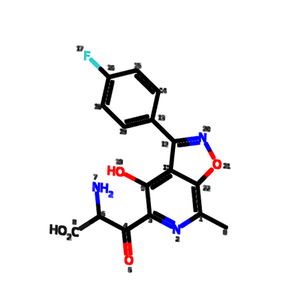 Cc1nc(C(=O)C(N)C(=O)O)c(O)c2c(-c3ccc(F)cc3)noc12